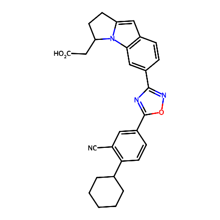 N#Cc1cc(-c2nc(-c3ccc4cc5n(c4c3)C(CC(=O)O)CC5)no2)ccc1C1CCCCC1